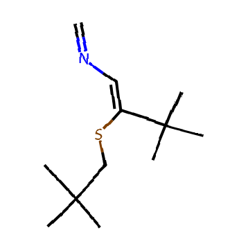 C=N/C=C(\SCC(C)(C)C)C(C)(C)C